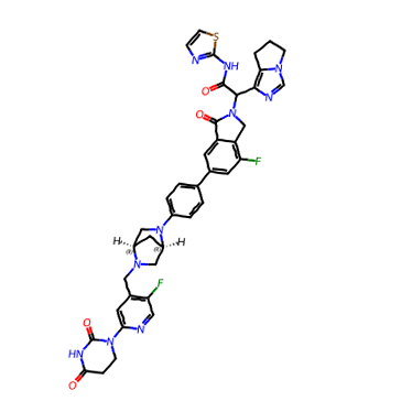 O=C1CCN(c2cc(CN3C[C@H]4C[C@@H]3CN4c3ccc(-c4cc(F)c5c(c4)C(=O)N(C(C(=O)Nc4nccs4)c4ncn6c4CCC6)C5)cc3)c(F)cn2)C(=O)N1